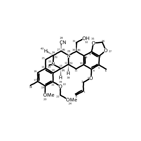 C=CCOc1c(C)c2c(c3c1C[C@H]1[C@H]4c5c(cc(C)c(OC)c5OCOC)C[C@@H]([C@H](C#N)N1[C@H]3CO)N4C)OCO2